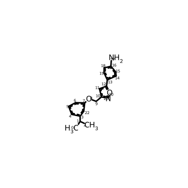 CC(C)c1cccc(OCc2cc(-c3ccc(N)cc3)on2)c1